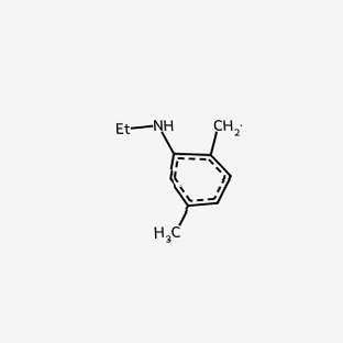 [CH2]c1ccc(C)cc1NCC